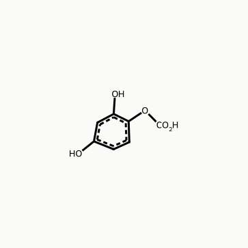 O=C(O)Oc1ccc(O)cc1O